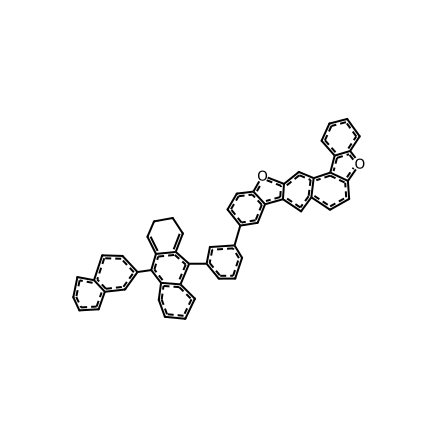 C1=c2c(-c3cccc(-c4ccc5oc6cc7c(ccc8oc9ccccc9c87)cc6c5c4)c3)c3ccccc3c(-c3ccc4ccccc4c3)c2=CCC1